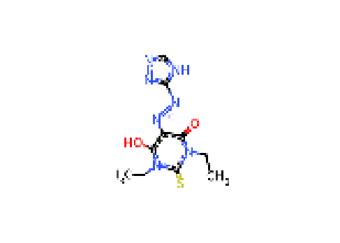 CCn1c(O)c(/N=N/c2nnc[nH]2)c(=O)n(CC)c1=S